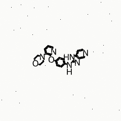 c1cnc(Oc2ccc(Nc3nc4cnccc4[nH]3)cc2)c(N2CCOCC2)c1